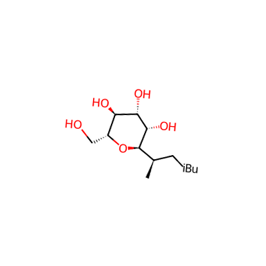 CCC(C)C[C@@H](C)[C@H]1O[C@H](CO)[C@@H](O)[C@H](O)[C@@H]1O